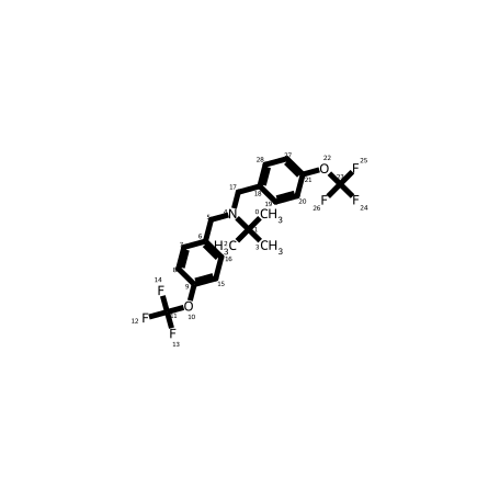 CC(C)(C)N(Cc1ccc(OC(F)(F)F)cc1)Cc1ccc(OC(F)(F)F)cc1